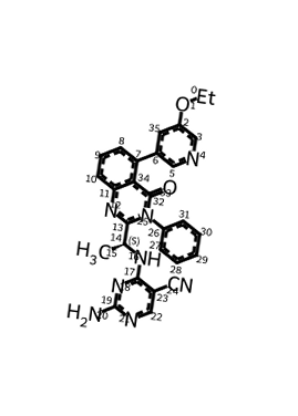 CCOc1cncc(-c2cccc3nc([C@H](C)Nc4nc(N)ncc4C#N)n(-c4ccccc4)c(=O)c23)c1